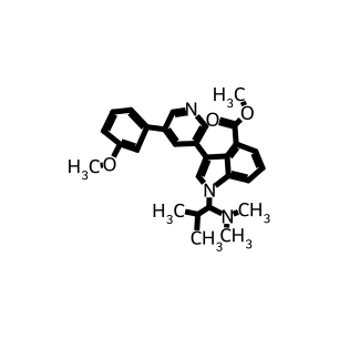 COC(=O)c1cccc2c1c(-c1cncc(-c3cccc(OC)c3)c1)cn2C(C(C)C)N(C)C